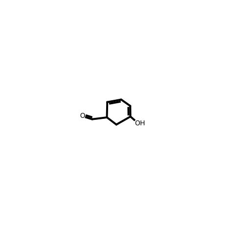 O=CC1C=CC=C(O)C1